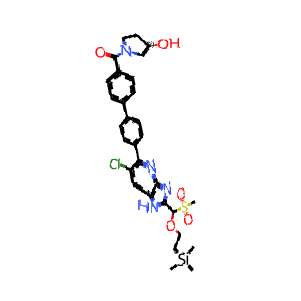 C[Si](C)(C)CCOC(c1nc2nc(-c3ccc(-c4ccc(C(=O)N5CC[C@@H](O)C5)cc4)cc3)c(Cl)cc2[nH]1)S(C)(=O)=O